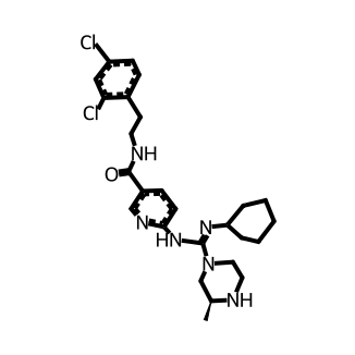 C[C@H]1CN(/C(=N\C2CCCCC2)Nc2ccc(C(=O)NCCc3ccc(Cl)cc3Cl)cn2)CCN1